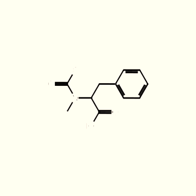 CN(C(=O)Cl)C(Cc1ccccc1)C(=O)O